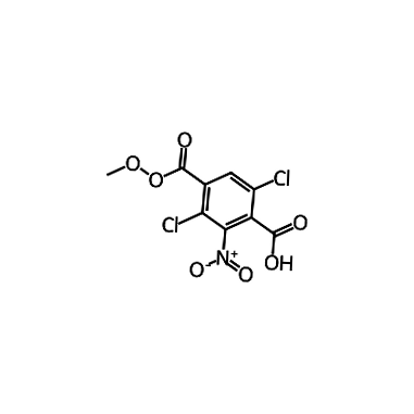 COOC(=O)c1cc(Cl)c(C(=O)O)c([N+](=O)[O-])c1Cl